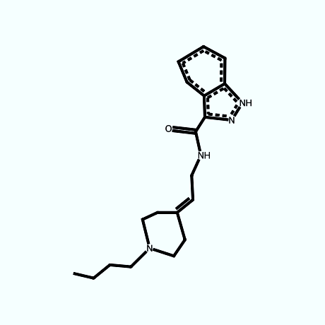 CCCCN1CCC(=CCNC(=O)c2n[nH]c3ccccc23)CC1